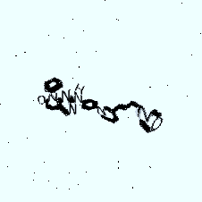 O=c1ccc2cnc(Nc3ccc(N4CCCC(CCCN5CCOCC5)C4)cc3)nc2n1C1CC2CCC1C2